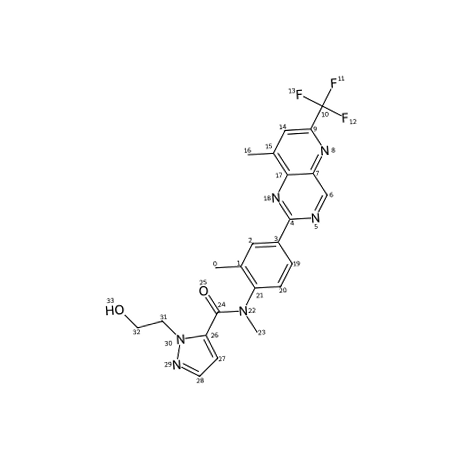 Cc1cc(-c2ncc3nc(C(F)(F)F)cc(C)c3n2)ccc1N(C)C(=O)c1ccnn1CCO